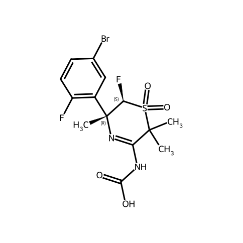 CC1(C)C(NC(=O)O)=N[C@](C)(c2cc(Br)ccc2F)[C@@H](F)S1(=O)=O